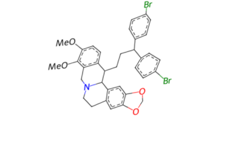 COc1ccc2c(c1OC)CN1CCc3cc4c(cc3C1C2CCC(c1ccc(Br)cc1)c1ccc(Br)cc1)OCO4